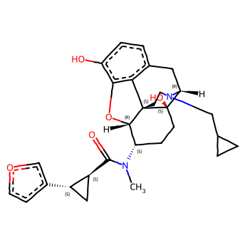 CN(C(=O)[C@H]1C[C@@H]1c1ccoc1)[C@H]1CC[C@@]2(O)[C@H]3Cc4ccc(O)c5c4[C@@]2(CCN3CC2CC2)[C@H]1O5